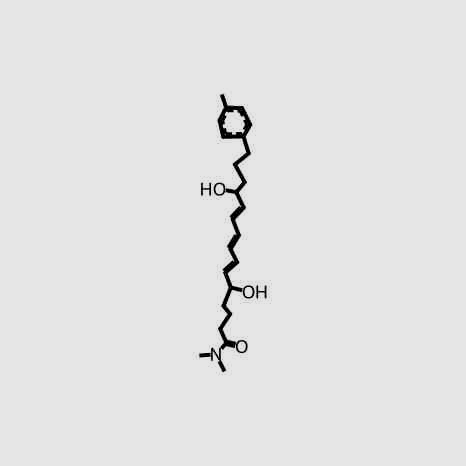 Cc1ccc(CCCC(O)C=CC=CC=CC(O)CCCC(=O)N(C)C)cc1